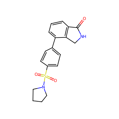 O=C1NCc2c1cccc2-c1ccc(S(=O)(=O)N2CCCC2)cc1